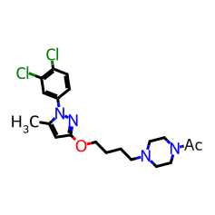 CC(=O)N1CCN(CCCCOc2cc(C)n(-c3ccc(Cl)c(Cl)c3)n2)CC1